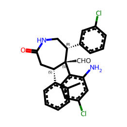 Cc1ccccc1[C@@H]1CC(=O)NC[C@H](c2cccc(Cl)c2)[C@]1(C=O)c1ccc(Cl)cc1N